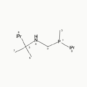 CC(C)P(C)CNC(C)(C)C(C)C